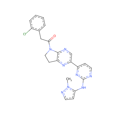 Cn1nccc1Nc1nccc(-c2cnc3c(n2)CCN3C(=O)Cc2ccccc2Cl)n1